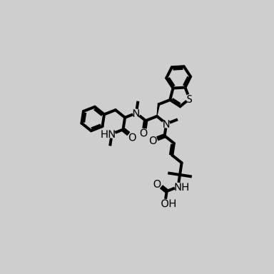 CNC(=O)C(Cc1ccccc1)N(C)C(=O)[C@@H](Cc1csc2ccccc12)N(C)C(=O)/C=C/CC(C)(C)NC(=O)O